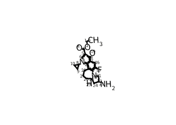 CCOC(=O)c1cn(C2CC2)c2c3c(c(F)cc2c1=O)N1C[C@@H](N)C[C@H]1CCC3